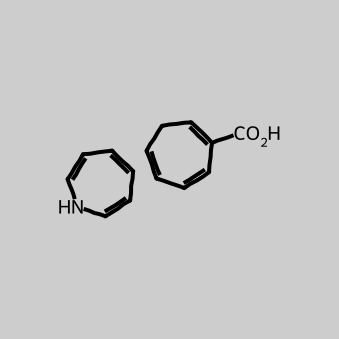 C1=CC=CNC=C1.O=C(O)C1=CCC=CC=C1